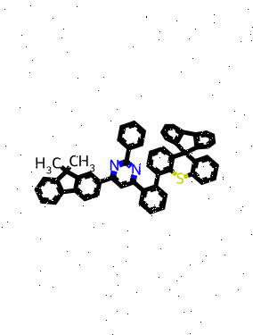 CC1(C)c2ccccc2-c2ccc(-c3cc(-c4ccccc4-c4cccc5c4Sc4ccccc4C54c5ccccc5-c5ccccc54)nc(-c4ccccc4)n3)cc21